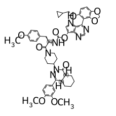 COc1ccc(C[C@@H](NC(=O)Oc2c[nH]c3c(-c4c(OCC5CC5)ccc5c4OCO5)ncnc23)C(=O)N2CCC(N3N=C(c4ccc(OC)c(OC)c4)[C@H]4CCCC[C@H]4C3=O)CC2)cc1